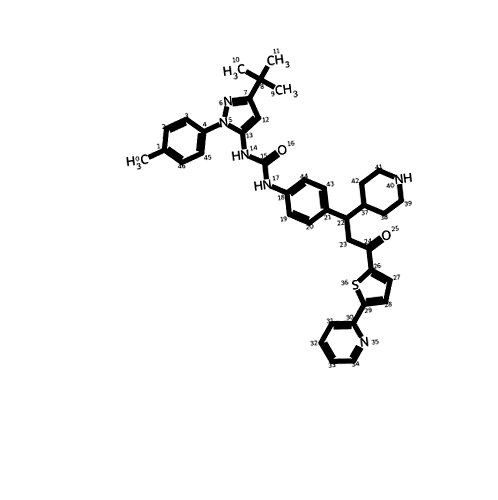 Cc1ccc(-n2nc(C(C)(C)C)cc2NC(=O)Nc2ccc(C(CC(=O)c3ccc(-c4ccccn4)s3)C3CCNCC3)cc2)cc1